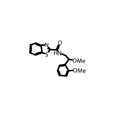 COc1ccccc1C(CNC(=O)c1nc2ccccc2s1)OC